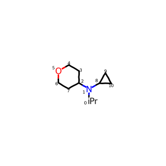 CC(C)N(C1CCOCC1)C1CC1